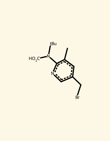 Cc1cc(CBr)cnc1N(C(=O)O)C(C)(C)C